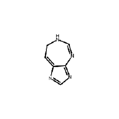 C1=NC2=CCNC=NC2=N1